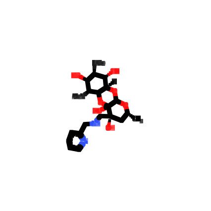 CN[C@@H]1[C@H](O)[C@H](NC)C2OC3(O)C(O[C@H](C)C[C@@]3(O)CNCc3ccccn3)O[C@@H]2[C@H]1O